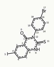 O=c1c2cc(I)ccc2[nH]c(=S)n1-c1ccc(Br)cc1